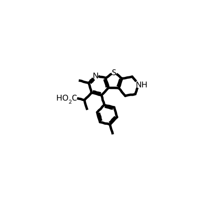 Cc1ccc(-c2c(C(C)C(=O)O)c(C)nc3sc4c(c23)CCNC4)cc1